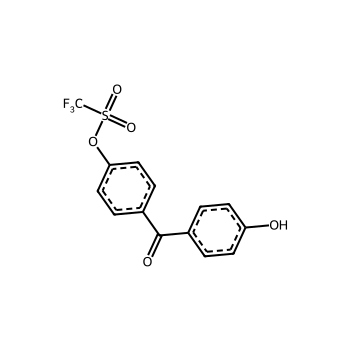 O=C(c1ccc(O)cc1)c1ccc(OS(=O)(=O)C(F)(F)F)cc1